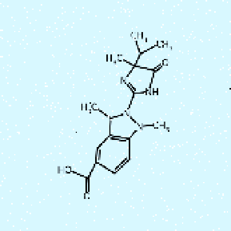 CC1c2cc(C(=O)O)ccc2N(C)N1C1=NC(C)(C(C)C)C(=O)N1